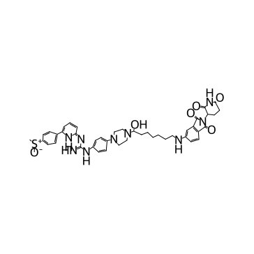 C[S+]([O-])c1ccc(-c2ccc/c(=N/C(=N)Nc3ccc(N4CCN(C(O)CCCCCCNc5ccc6c(c5)C(=O)N(C5CCC(=O)NC5=O)C6=O)CC4)cc3)[nH]2)cc1